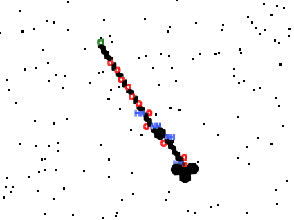 O=C(CCC(=O)NCc1ccc(NC(=O)CCCCCCC(=O)NOC(c2ccccc2)(c2ccccc2)c2ccccc2)cc1)NCCOCCOCCOCCOCCOCCOCCCCCCCl